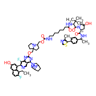 CCc1c(F)ccc2cc(O)cc(-c3ncc4c(N5CC6CCC(C5)N6)nc(OCC56CCCN5C(COC(=O)NCCCCCCCC(=O)NC(C(=O)N5C[C@H](O)C[C@H]5C(=O)N[C@@H](C)c5ccc(-c7scnc7C)cc5)C(C)(C)C)CC6)nc4c3F)c12